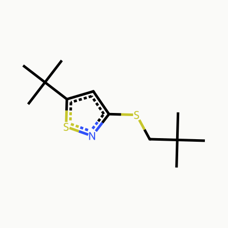 CC(C)(C)CSc1cc(C(C)(C)C)sn1